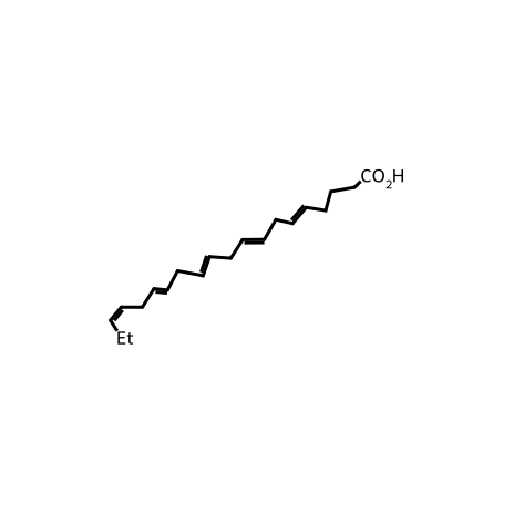 CC/C=C\C/C=C/C/C=C/C/C=C/C/C=C/CCCC(=O)O